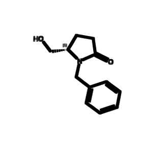 O=C1CC[C@@H](CO)N1Cc1ccccc1